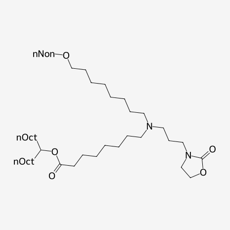 CCCCCCCCCOCCCCCCCCN(CCCCCCCC(=O)OC(CCCCCCCC)CCCCCCCC)CCCN1CCOC1=O